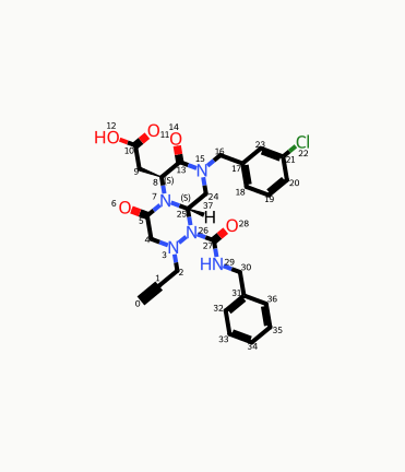 C#CCN1CC(=O)N2[C@@H](CC(=O)O)C(=O)N(Cc3cccc(Cl)c3)C[C@@H]2N1C(=O)NCc1ccccc1